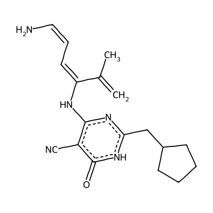 C=C(C)/C(=C\C=C/N)Nc1nc(CC2CCCC2)[nH]c(=O)c1C#N